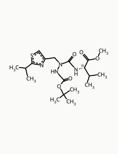 COC(=O)[C@@H](NC(=O)N(Cc1csc(C(C)C)n1)NC(=O)OC(C)(C)C)C(C)C